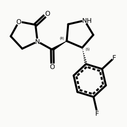 O=C1OCCN1C(=O)[C@H]1CNC[C@@H]1c1ccc(F)cc1F